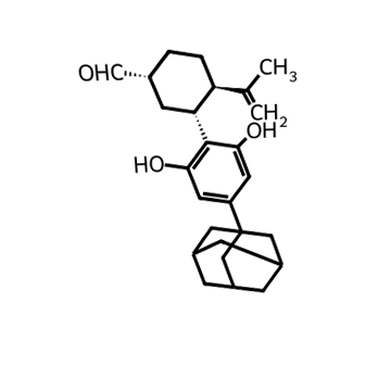 C=C(C)[C@@H]1CC[C@@H](C=O)C[C@H]1c1c(O)cc(C23CC4CC(CC(C4)C2)C3)cc1O